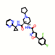 O=C(N[C@H]1CCN(C2CCCC2)C[C@@H]1C(=O)NC1(c2ncccn2)CC1)c1cc(-c2ccc(F)cc2F)on1